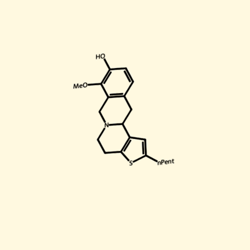 CCCCCc1cc2c(s1)CCN1Cc3c(ccc(O)c3OC)CC21